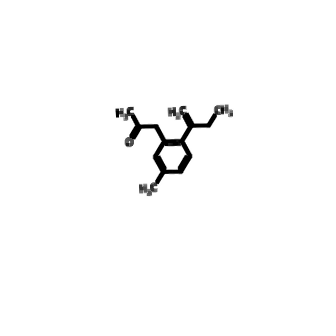 C=C(CC)c1ccc(C)cc1CC(C)=O